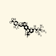 CC(C)(C)OC(=O)Nc1ccc(CC(F)(F)F)c(-c2cc3ncnc(CC(C)(C)N4CCN(C(=O)O)CC4)c3cc2Cl)n1